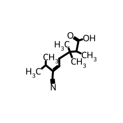 CC(C)/C(C#N)=C\CC(C)(C)C(C)C(=O)O